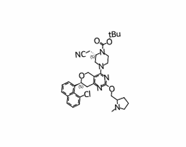 CN1CCCC1COc1nc2c(c(N3CCN(C(=O)OC(C)(C)C)[C@@H](CC#N)C3)n1)CO[C@H](c1cccc3cccc(Cl)c13)C2